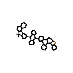 CC1(C)c2ccc(-c3c4ccccc4c(-c4ccc5c(c4)c4ccccc4c4c5ccc5sc6ccccc6c54)c4ccccc34)cc2-c2c1ccc1ccccc21